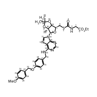 CCOC(=O)CNC(=O)SC[C@H]1O[C@@H](n2cnc3c(NCc4ccc(OCc5ccc(OC)cc5)cc4)ncnc32)[C@H]2OC(C)(C)OC12